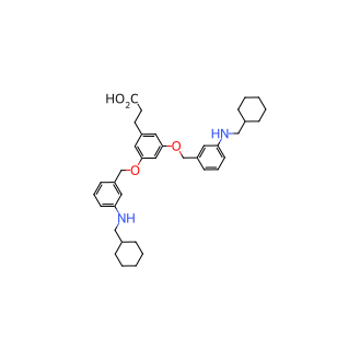 O=C(O)CCc1cc(OCc2cccc(NCC3CCCCC3)c2)cc(OCc2cccc(NCC3CCCCC3)c2)c1